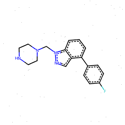 Fc1ccc(-c2cccc3c2cnn3CN2CCNCC2)cc1